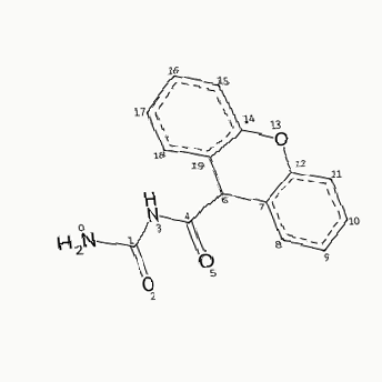 NC(=O)NC(=O)C1c2ccccc2Oc2ccccc21